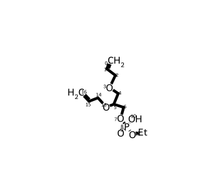 C=CCOCC(COP(=O)(O)OCC)OCC=C